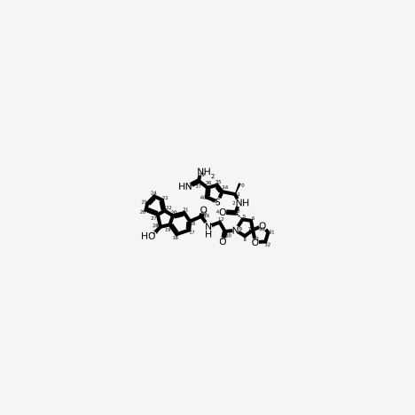 C[C@@H](NC(=O)[C@@H]1CC2(CN1C(=O)CNC(=O)c1ccc3c(c1)-c1ccccc1C3O)OCCO2)c1cc(C(=N)N)cs1